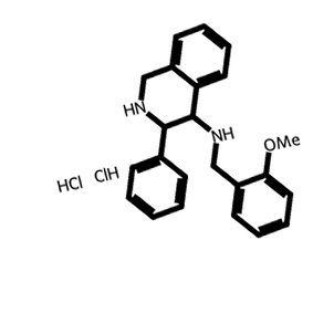 COc1ccccc1CNC1c2ccccc2CNC1c1ccccc1.Cl.Cl